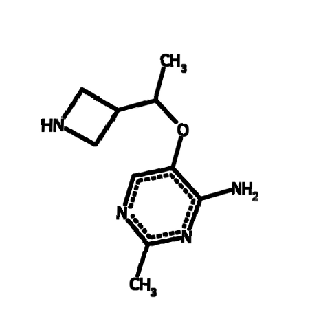 Cc1ncc(OC(C)C2CNC2)c(N)n1